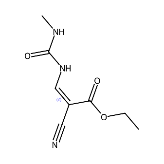 CCOC(=O)/C(C#N)=C\NC(=O)NC